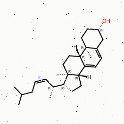 CC(C)C/C=C\[C@@H](C)[C@H]1CC[C@H]2C3=CC=C4C[C@@H](O)CC[C@]4(C)[C@H]3CC[C@]12C